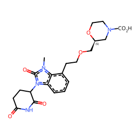 Cn1c(=O)n(C2CCC(=O)NC2=O)c2cccc(CCOC[C@@H]3CN(C(=O)O)CCO3)c21